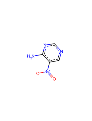 Nc1ncncc1[N+](=O)[O-]